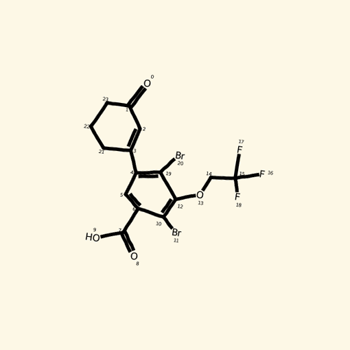 O=C1C=C(c2cc(C(=O)O)c(Br)c(OCC(F)(F)F)c2Br)CCC1